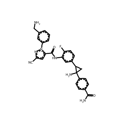 N#Cc1cc(C(=O)Nc2cc(C3CC3(N)c3ccc(C(N)=O)cc3)ccc2F)n(-c2cccc(CN)c2)n1